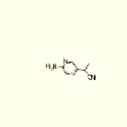 CC(C#N)c1ccc(N)nc1